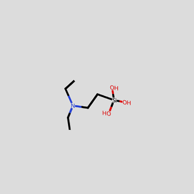 CCN(CC)CC[Si](O)(O)O